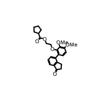 COc1ccc(-c2cccc3c2CCC3=O)c(OCCOC(=O)C2CCCC2)c1OC